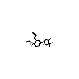 C=CCC1=CC(B2CC(C)C(C)(C)C2)=CCC1N(C)CC